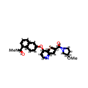 CNC(=O)c1cccc2cc(Oc3ccnc4cc(C(=O)N5CC[C@H](OC)C5)sc34)ccc12